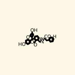 CN(Cc1cccc2c1C(=O)OC21c2ccc(O)cc2Oc2cc(O)ccc21)NC(Cc1ccccc1)C(=O)O